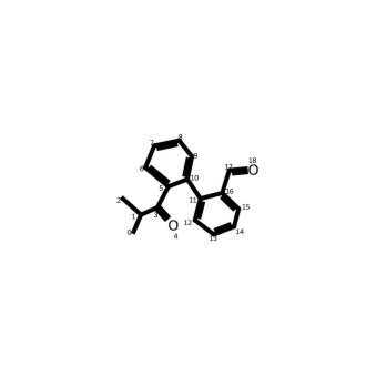 CC(C)C(=O)c1ccccc1-c1ccccc1C=O